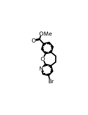 COC(=O)c1ccc2c(c1)Oc1ncc(Br)cc1CC2